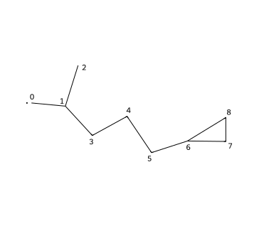 [CH2]C(C)CCCC1CC1